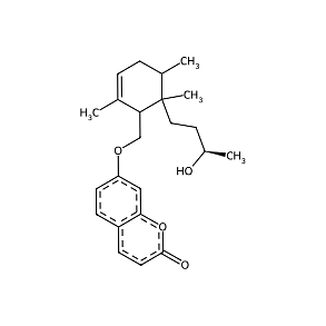 CC1=CCC(C)C(C)(CC[C@@H](C)O)C1COc1ccc2ccc(=O)oc2c1